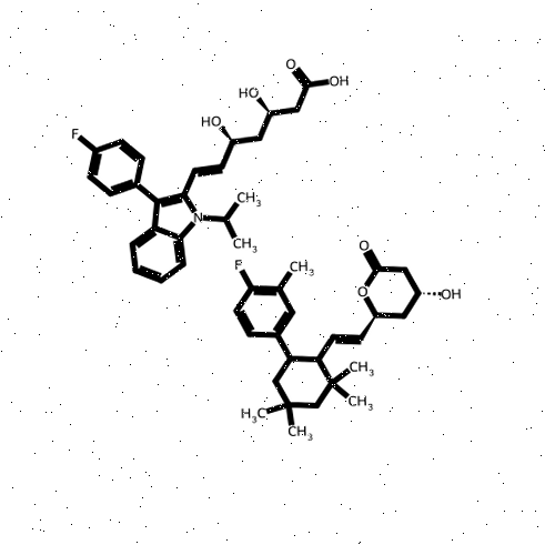 CC(C)n1c(/C=C/[C@@H](O)C[C@@H](O)CC(=O)O)c(-c2ccc(F)cc2)c2ccccc21.Cc1cc(C2CC(C)(C)CC(C)(C)C2/C=C/[C@@H]2C[C@@H](O)CC(=O)O2)ccc1F